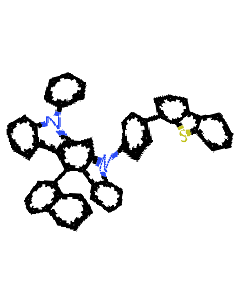 c1ccc(-n2c3ccccc3c3c(-c4cccc5ccccc45)c4c5ccccc5n(-c5ccc(-c6cccc7c6sc6ccccc67)cc5)c4cc32)cc1